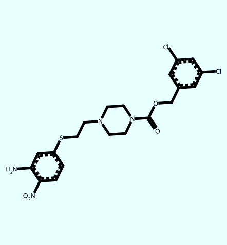 Nc1cc(SCCN2CCN(C(=O)OCc3cc(Cl)cc(Cl)c3)CC2)ccc1[N+](=O)[O-]